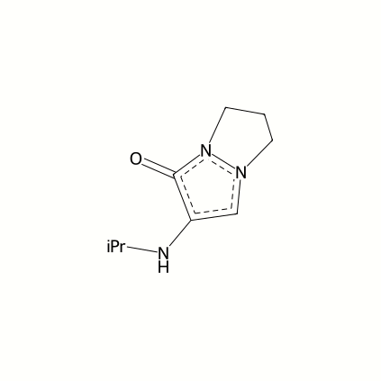 CC(C)Nc1cn2n(c1=O)CCC2